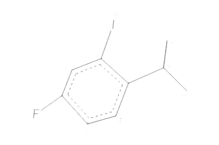 CC(C)c1ccc(F)cc1I